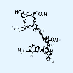 C=CC(=O)N[C@@H]1CN(c2nc(Nc3cn(CCCNC(=O)CN4CCN(CC(=O)O)CCN(CC(O)O)CCN(CC(=O)O)CC4)nc3OC)c3ncn(C)c3n2)C[C@H]1F